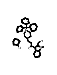 Clc1ccccc1.Cn1c(CCl)c(C(=O)CCC2CCN(C(c3ccccc3)(c3ccccc3)c3ccccc3)CC2)c2ccccc21